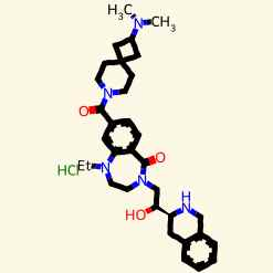 CCN1CCN(CC(O)[C@@H]2Cc3ccccc3CN2)C(=O)c2ccc(C(=O)N3CCC4(CC3)CC(N(C)C)C4)cc21.Cl